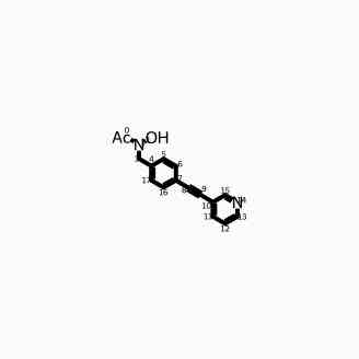 CC(=O)N(O)Cc1ccc(C#Cc2cccnc2)cc1